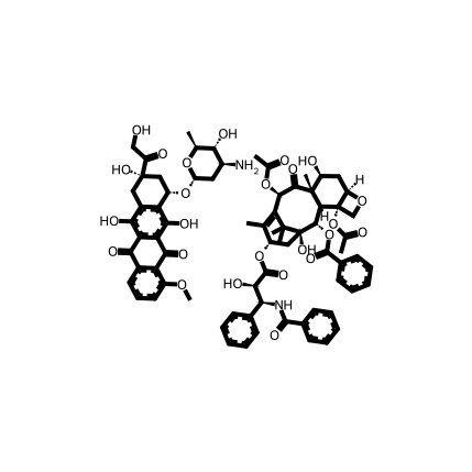 CC(=O)O[C@H]1C(=O)[C@@]2(C)[C@H]([C@H](OC(=O)c3ccccc3)[C@]3(O)C[C@H](OC(=O)[C@H](O)[C@@H](NC(=O)c4ccccc4)c4ccccc4)C(C)=C1C3(C)C)[C@]1(OC(C)=O)CO[C@@H]1C[C@@H]2O.COc1cccc2c1C(=O)c1c(O)c3c(c(O)c1C2=O)C[C@@](O)(C(=O)CO)C[C@@H]3O[C@H]1C[C@H](N)[C@@H](O)[C@H](C)O1